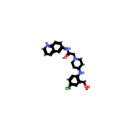 O=C(CN1CCC(Nc2ccc(Cl)cc2CO)CC1)Nc1ccc2ncccc2c1